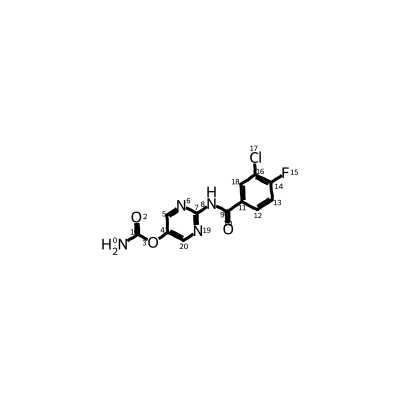 NC(=O)Oc1cnc(NC(=O)c2ccc(F)c(Cl)c2)nc1